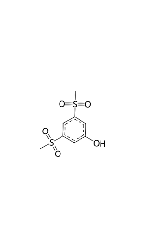 CS(=O)(=O)c1cc(O)cc(S(C)(=O)=O)c1